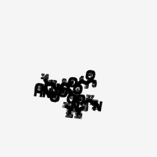 CC(=O)CCC(=O)OC1CC(n2cc(C)c(=O)[nH]c2=O)OC1COP(OCCC#N)N(C(C)C)C(C)C